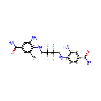 CC(C)c1cc(C(N)=O)cc(N)c1NCC(F)(F)C(F)(F)CNc1ccc(C(N)=O)cc1N